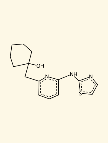 OC1(Cc2cccc(Nc3nccs3)n2)CCCCC1